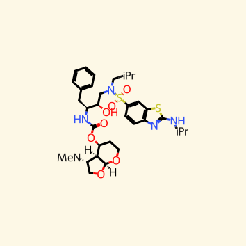 CN[C@H]1CO[C@@H]2OCC[C@H](OC(=O)N[C@@H](Cc3ccccc3)[C@H](O)CN(CC(C)C)S(=O)(=O)c3ccc4nc(NC(C)C)sc4c3)[C@@H]21